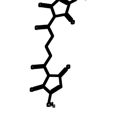 CC1=CC(=O)C(C(=O)CCCC(=O)C2C(=O)C=C(C)C2=O)C1=O